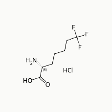 Cl.N[C@H](CCCCC(F)(F)F)C(=O)O